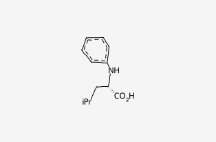 CC(C)C[C@H](Nc1ccccc1)C(=O)O